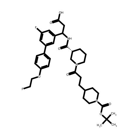 CC(C)(C)OC(=O)N1CCC(CCC(=O)N2CCC[C@@H](C(=O)NC(CC(=O)O)c3cc(F)cc(-c4ccc(OCCF)cc4)c3)C2)CC1